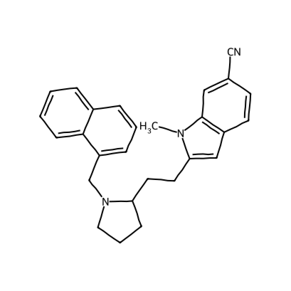 Cn1c(CCC2CCCN2Cc2cccc3ccccc23)cc2ccc(C#N)cc21